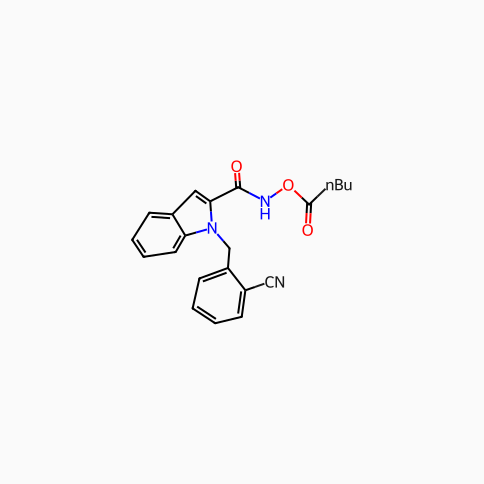 CCCCC(=O)ONC(=O)c1cc2ccccc2n1Cc1ccccc1C#N